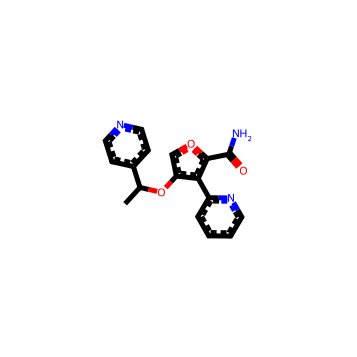 CC(Oc1coc(C(N)=O)c1-c1ccccn1)c1ccncc1